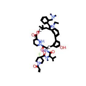 C=CC(=O)N1CCC(F)(C(=O)N(C)C(C(=O)N[C@H]2Cc3cc(O)cc(c3)-c3ccc4c(c3)c(c(-c3ccccc3CN(C)C)n4CC)CC(C)(C)COC(=O)[C@@H]3CCCN(N3)C2=O)C(C)C)CC1